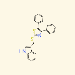 c1ccc(-c2nc(SCc3c[nH]c4ccccc34)sc2-c2ccccc2)cc1